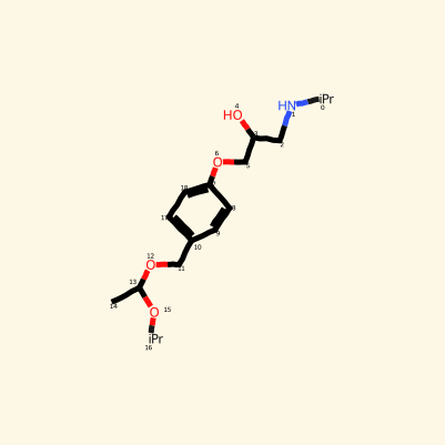 CC(C)NCC(O)COc1ccc(COC(C)OC(C)C)cc1